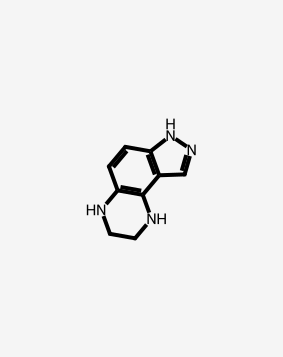 c1cc2[nH]ncc2c2c1NCCN2